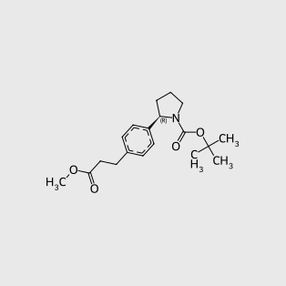 COC(=O)CCc1ccc([C@H]2CCCN2C(=O)OC(C)(C)C)cc1